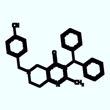 Cc1nc2c(c(=O)n1C(c1ccccc1)c1ccccc1)CN(Cc1ccc(C#N)cc1)CC2